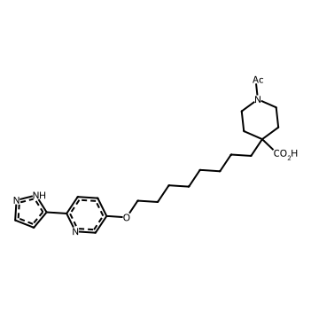 CC(=O)N1CCC(CCCCCCCCOc2ccc(-c3ccn[nH]3)nc2)(C(=O)O)CC1